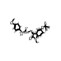 COc1ccc(NC(=S)NN=C2C(=O)N(C)c3ccc(OC(F)(F)F)cc32)cc1